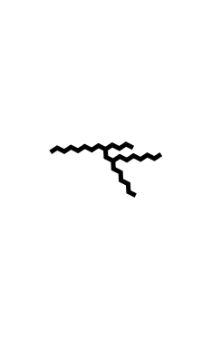 CCCCCCCCC(CCCC)CC(CCCCCC)CCCCCCC